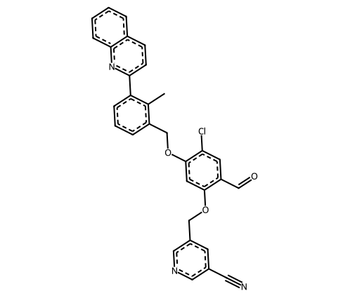 Cc1c(COc2cc(OCc3cncc(C#N)c3)c(C=O)cc2Cl)cccc1-c1ccc2ccccc2n1